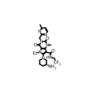 CCn1c(N2CCC[C@@H](N)C2)c(C(=O)NCC(F)(F)F)c2c1c(=O)n(Cc1nccc(C)n1)c(=O)n2C